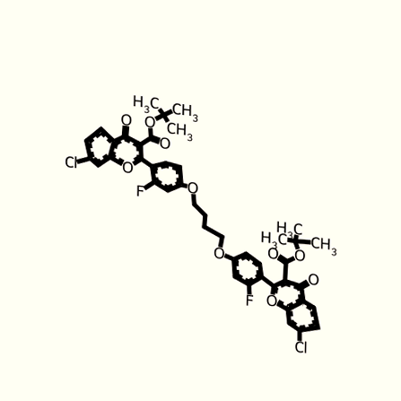 CC(C)(C)OC(=O)c1c(-c2ccc(OCCCCOc3ccc(-c4oc5cc(Cl)ccc5c(=O)c4C(=O)OC(C)(C)C)c(F)c3)cc2F)oc2cc(Cl)ccc2c1=O